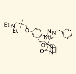 CCN(CC)CC(C)(C)COc1ccc2[nH]c(-c3cc4cn(c3=O)n4C(=O)c3cnn(Cc4ccccc4)c3)cc2c1